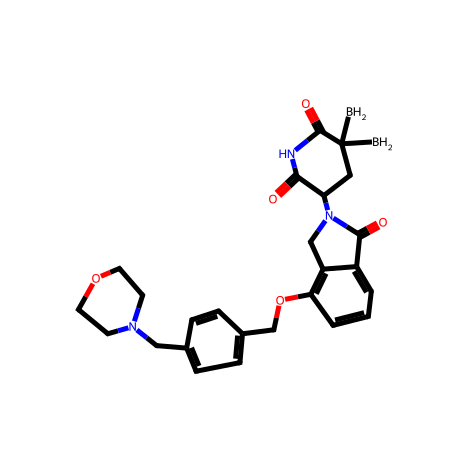 BC1(B)CC(N2Cc3c(OCc4ccc(CN5CCOCC5)cc4)cccc3C2=O)C(=O)NC1=O